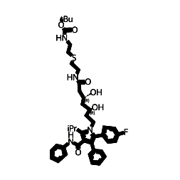 CC(C)c1c(C(=O)Nc2ccccc2)c(-c2ccccc2)c(-c2ccc(F)cc2)n1CC[C@@H](O)C[C@@H](O)CC(=O)NCCSCCNC(=O)OC(C)(C)C